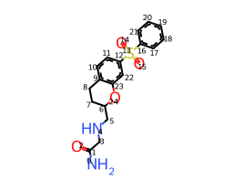 NC(=O)CNCC1CCc2ccc(S(=O)(=O)c3ccccc3)cc2O1